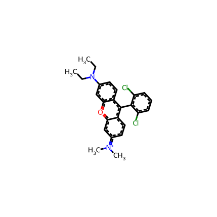 CCN(CC)c1ccc2c(-c3c(Cl)cccc3Cl)c3ccc(=[N+](C)C)cc-3oc2c1